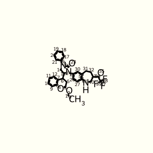 CCOC(=O)CC(c1ccccc1)C1CN(c2ccccc2)C(=O)N1c1ccc2c(c1)CCC(C(=O)C(F)(F)F)CN2